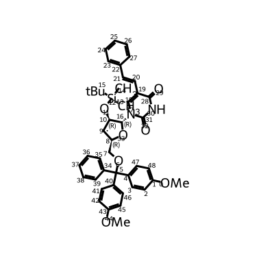 COc1ccc(C(OC[C@H]2[CH][C@@H](O[Si](C)(C)C(C)(C)C)[C@H](n3cc(C=Cc4ccccc4)c(=O)[nH]c3=O)O2)(c2ccccc2)c2ccc(OC)cc2)cc1